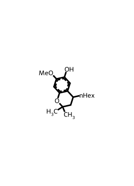 CCCCCCC1CC(C)(C)Oc2cc(OC)c(O)cc21